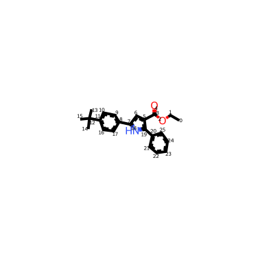 CCOC(=O)c1cc(-c2ccc(C(C)(C)C)cc2)[nH]c1-c1ccccc1